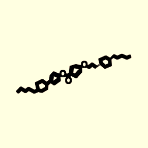 CCCCCC1CCC(c2ccc(OC(=O)c3ccc(OCCC[C@H]4CC[C@H](CCCCC)CC4)cc3)cc2)CC1